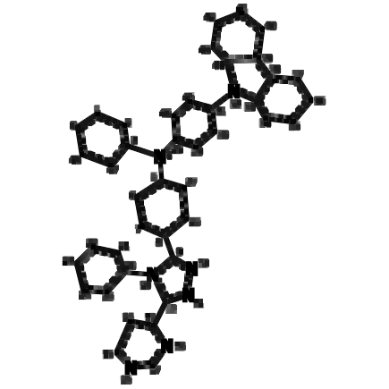 c1ccc(N(c2ccc(-c3nnc(-c4ccncn4)n3-c3ccccc3)cc2)c2ccc(-n3c4ccccc4c4ccccc43)cc2)cc1